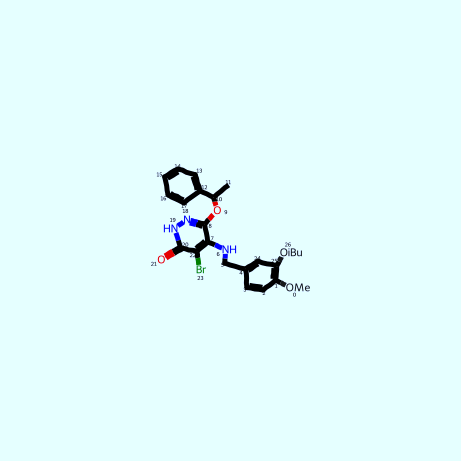 COc1ccc(CNc2c(OC(C)c3ccccc3)n[nH]c(=O)c2Br)cc1OCC(C)C